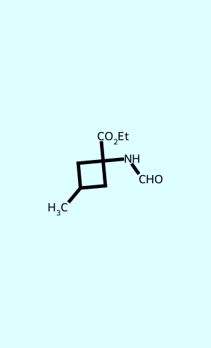 CCOC(=O)C1(NC=O)CC(C)C1